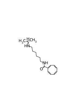 C[SH](C)NCCCCCCNC(=O)C1=C/C=C\C=C/C=C\1